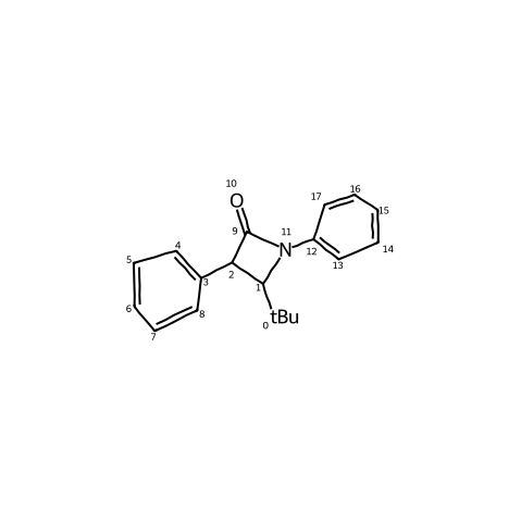 CC(C)(C)C1C(c2ccccc2)C(=O)N1c1ccccc1